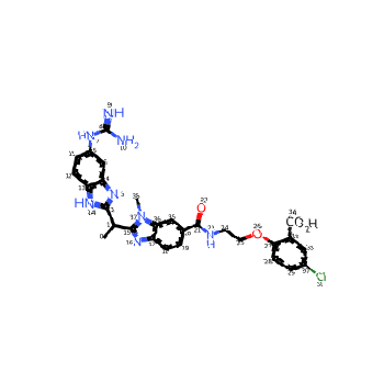 CC(c1nc2cc(NC(=N)N)ccc2[nH]1)c1nc2ccc(C(=O)NCCOc3ccc(Cl)cc3C(=O)O)cc2n1C